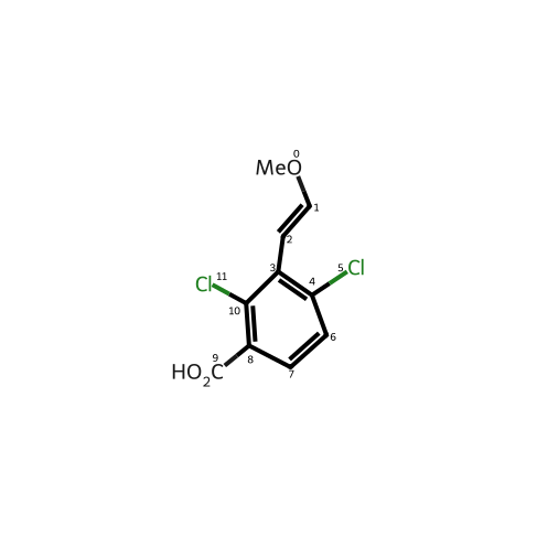 COC=Cc1c(Cl)ccc(C(=O)O)c1Cl